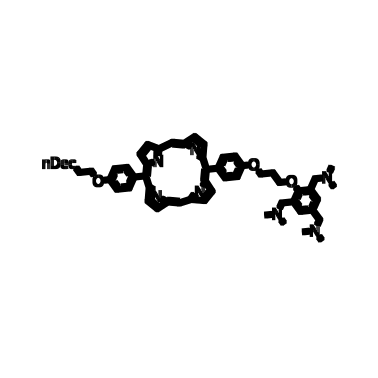 CCCCCCCCCCCCOc1ccc(C2=C3C=CC(=N3)C=C3C=CC(=N3)C(c3ccc(OCCCOc4c(CN(C)C)cc(CN(C)C)cc4CN(C)C)cc3)=C3C=CC(=N3)C=C3C=CC2=N3)cc1